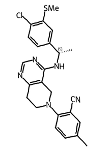 CSc1cc([C@H](C)Nc2ncnc3c2CN(c2ccc(C)cc2C#N)CC3)ccc1Cl